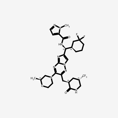 C[C@H]1CN(c2nc3nc([C@@H](NC(=O)c4ccnn4C)[C@@H]4CCCC(F)(F)C4)cn3nc2C[C@H]2C[C@H](C(F)(F)F)CNC2=O)CCO1